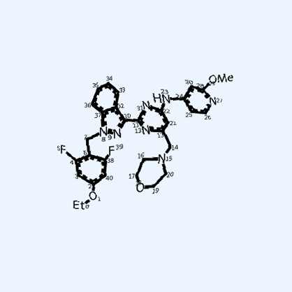 CCOc1cc(F)c(Cn2nc(-c3nc(CN4CCOCC4)cc(Nc4ccnc(OC)c4)n3)c3ccccc32)c(F)c1